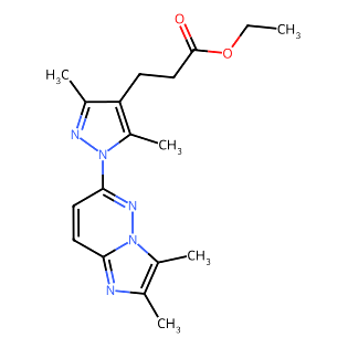 CCOC(=O)CCc1c(C)nn(-c2ccc3nc(C)c(C)n3n2)c1C